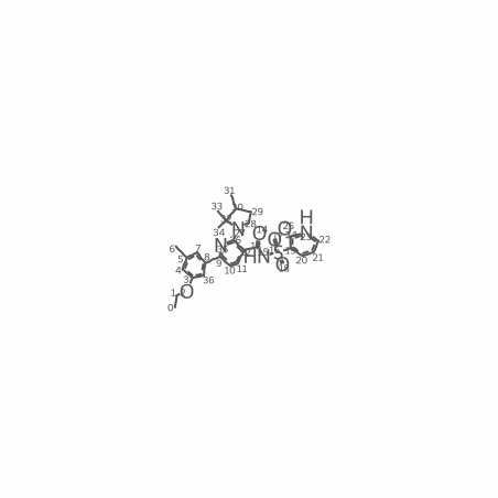 CCOc1cc(C)cc(-c2ccc(C(=O)NS(=O)(=O)c3ccc[nH]c3=O)c(N3CCC(C)C3(C)C)n2)c1